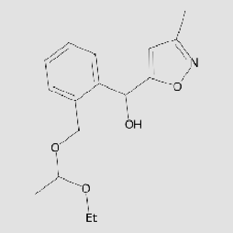 CCOC(C)OCc1ccccc1C(O)c1cc(C)no1